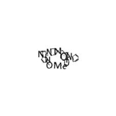 COc1ccc2nccc(N3CCN(CC4CN(c5ccccc5)C(=O)O4)CC3)c2n1